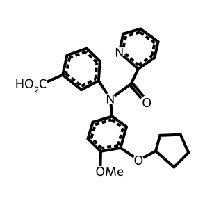 COc1ccc(N(C(=O)c2ccccn2)c2cccc(C(=O)O)c2)cc1OC1CCCC1